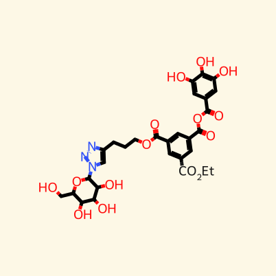 CCOC(=O)c1cc(C(=O)OCCCc2cn(C3OC(CO)C(O)C(O)C3O)nn2)cc(C(=O)OC(=O)c2cc(O)c(O)c(O)c2)c1